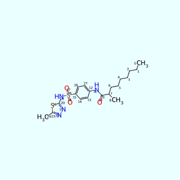 CCCCCCCC(C)C(=O)Nc1ccc(S(=O)(=O)Nc2nnc(C)s2)cc1